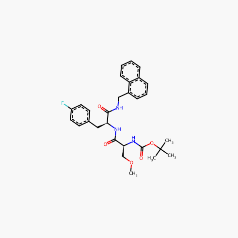 COC[C@H](NC(=O)OC(C)(C)C)C(=O)N[C@@H](Cc1ccc(F)cc1)C(=O)NCc1cccc2ccccc12